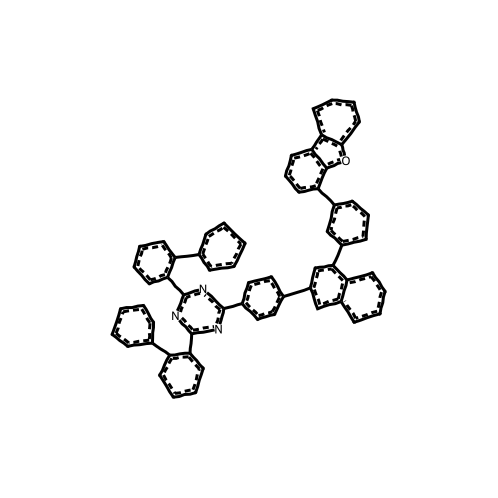 c1ccc(-c2ccccc2-c2nc(-c3ccc(-c4cc(-c5cccc(-c6cccc7c6oc6ccccc67)c5)c5ccccc5c4)cc3)nc(-c3ccccc3-c3ccccc3)n2)cc1